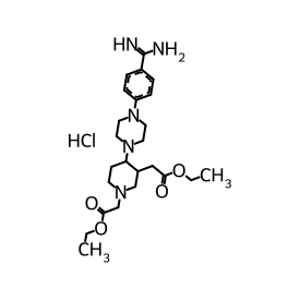 CCOC(=O)CC1CN(CC(=O)OCC)CCC1N1CCN(c2ccc(C(=N)N)cc2)CC1.Cl